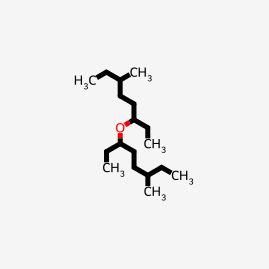 CCC(C)CCC(CC)OC(CC)CCC(C)CC